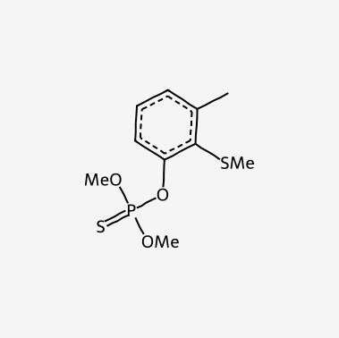 COP(=S)(OC)Oc1cccc(C)c1SC